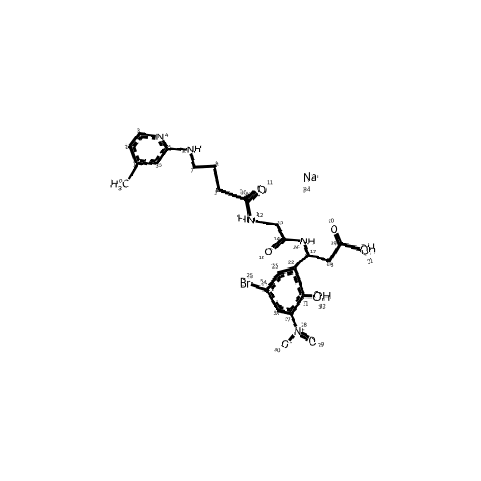 Cc1ccnc(NCCCC(=O)NCC(=O)NC(CC(=O)O)c2cc(Br)cc([N+](=O)[O-])c2O)c1.[Na]